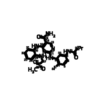 CC(C)C(=O)Nc1ccc(F)c(Nc2ncc(C(N)=O)c(Nc3ccccc3NCS(C)(=O)=O)n2)c1